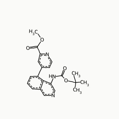 COC(=O)c1cc(-c2cccc3cncc(NC(=O)OC(C)(C)C)c23)ccn1